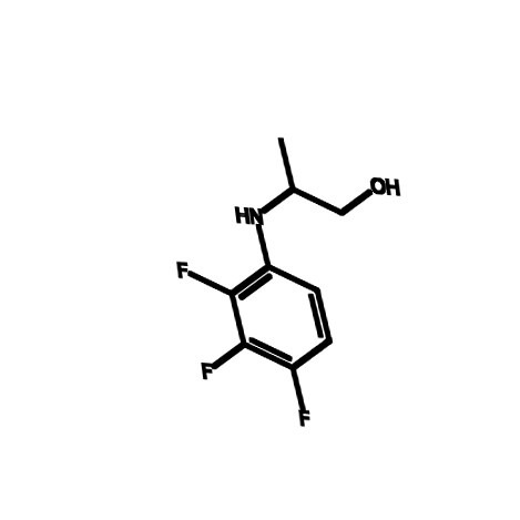 CC(CO)Nc1ccc(F)c(F)c1F